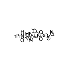 CCCNC(=O)c1cn2ncnc(Nc3cc(C(=O)N(C(=O)OCOC(=O)c4cccnc4)C4CC4)ccc3C)c2c1C